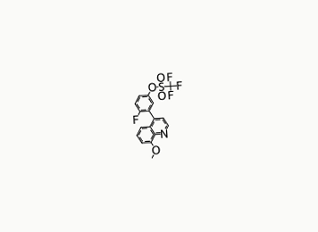 COc1cccc2c(-c3cc(OS(=O)(=O)C(F)(F)F)ccc3F)ccnc12